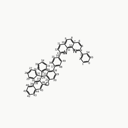 c1ccc(-c2ccc3ccc4ccc(-c5ccc(-c6ccc7c(c6)C(c6ccccc6)(c6ccccc6)c6cc8ccccc8cc6O7)cc5)nc4c3n2)cc1